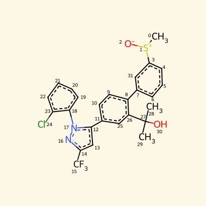 C[S+]([O-])c1cccc(-c2ccc(-c3cc(C(F)(F)F)nn3-c3ccccc3Cl)cc2C(C)(C)O)c1